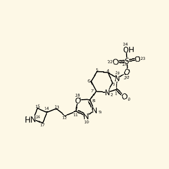 O=C1N2CC(CCC2c2nnc(CCC3CNC3)o2)N1OS(=O)(=O)O